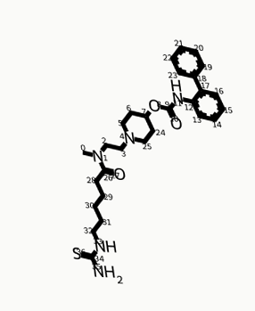 CN(CCN1CCC(OC(=O)Nc2ccccc2-c2ccccc2)CC1)C(=O)CCCCCNC(N)=S